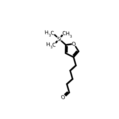 C[Si](C)(C)c1cc(CCCCC=O)co1